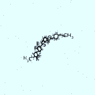 CCCc1ccc(-c2ccc(-c3cc4ccc(OCC5CCC(CCC)CC5)c(F)c4s3)c(F)c2F)c(F)c1F